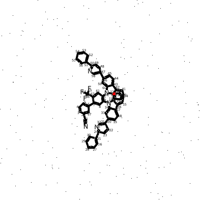 N#Cc1cccc(-c2cc(-n3c4ccccc4c4ccc(-c5ccc(-c6ccccc6)nc5)cc43)c(-n3c4ccccc4c4ccc(-c5ccc(-c6ccccc6)nc5)cc43)cc2C(F)(F)F)c1